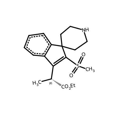 CCOC(=O)[C@H](C)C1=C(S(C)(=O)=O)C2(CCNCC2)c2ccccc21